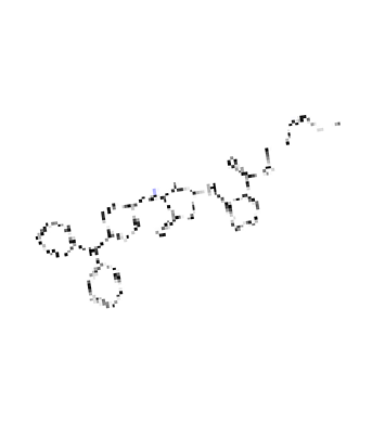 CC/C=C\CCOC(=O)c1ccccc1N=C1CC(=O)/C(=C\c2ccc(N(c3ccccc3)c3ccccc3)cc2)O1